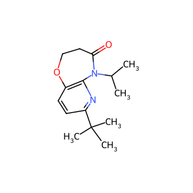 CC(C)N1C(=O)CCOc2ccc(C(C)(C)C)nc21